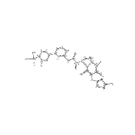 Cc1noc(Cn2c(=O)c3c(ncn3[C@@H](C)C(=O)Nc3cccc(-c4cnc(C(F)(F)F)c(C)c4)n3)n(C)c2=O)n1